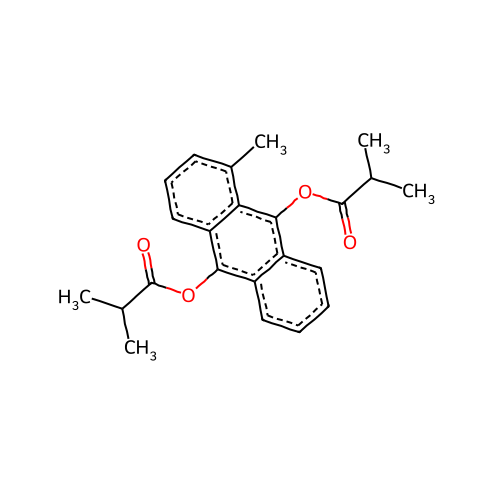 Cc1cccc2c(OC(=O)C(C)C)c3ccccc3c(OC(=O)C(C)C)c12